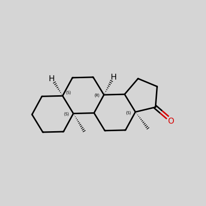 C[C@]12CCC3[C@@H](CC[C@@H]4CCCC[C@]34C)C1CCC2=O